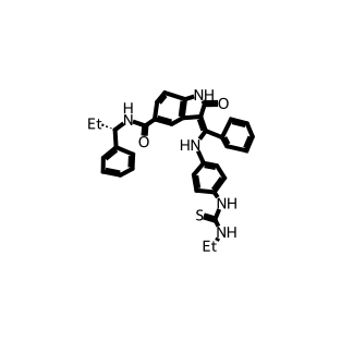 CCNC(=S)Nc1ccc(NC(=C2C(=O)Nc3ccc(C(=O)N[C@@H](CC)c4ccccc4)cc32)c2ccccc2)cc1